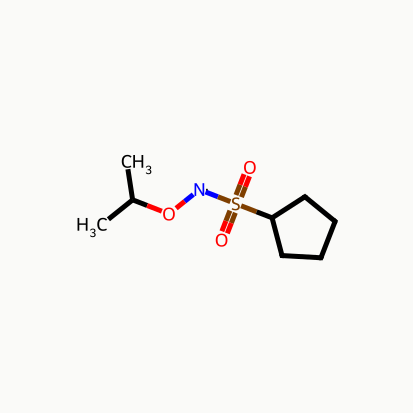 CC(C)O[N]S(=O)(=O)C1CCCC1